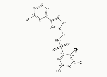 O=S(=O)(NCc1nc(-c2cccc(F)c2)no1)c1cc(Cl)cc(Cl)c1O